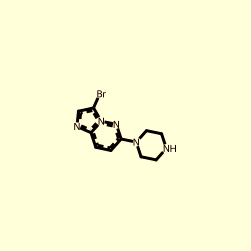 Brc1cnc2ccc(N3CCNCC3)nn12